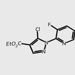 CCOC(=O)c1cnn(-c2ncccc2F)c1Cl